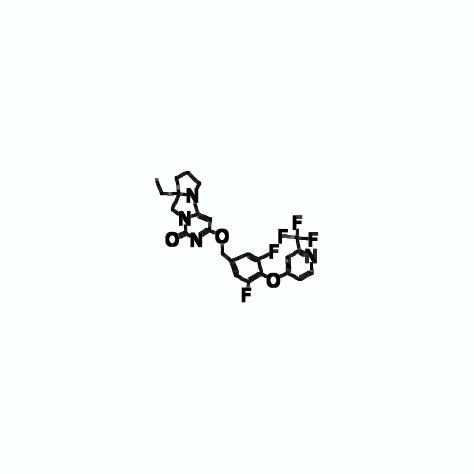 CCC12CCCN1c1cc(OCc3cc(F)c(Oc4ccnc(C(F)(F)F)c4)c(F)c3)nc(=O)n1C2